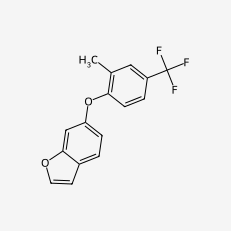 Cc1cc(C(F)(F)F)ccc1Oc1ccc2ccoc2c1